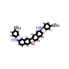 CC(C)(C)c1ccc(Nc2ccc3cc4oc5cc6ccc(Nc7ccc(C(C)(C)C)cc7)cc6cc5c4cc3c2)cc1